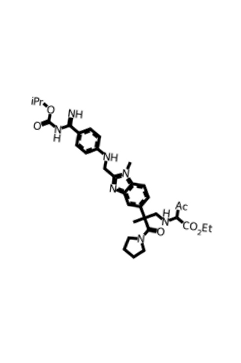 CCOC(=O)C(NCC(C)(C(=O)N1CCCC1)c1ccc2c(c1)nc(CNc1ccc(C(=N)NC(=O)OC(C)C)cc1)n2C)C(C)=O